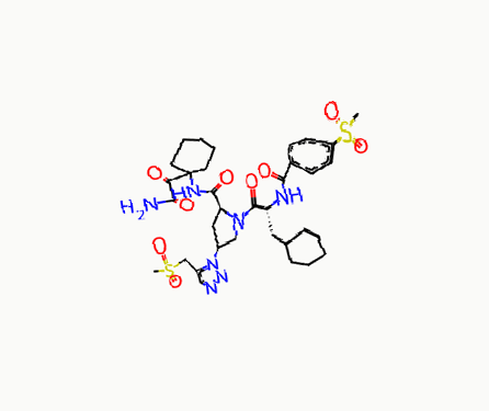 CS(=O)(=O)Cc1cnnn1[C@H]1C[C@@H](C(=O)NC2(C(=O)C(N)=O)CCCCC2)N(C(=O)[C@@H](CC2CCCCC2)NC(=O)c2ccc(S(C)(=O)=O)cc2)C1